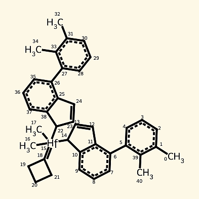 Cc1cccc(-c2cccc3c2C=C[CH]3[Hf]([CH3])([CH3])(=[C]2CCC2)[CH]2C=Cc3c(-c4cccc(C)c4C)cccc32)c1C